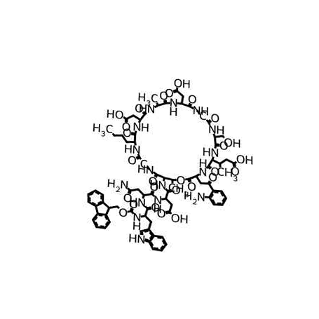 CCCCC1NC(=O)CNC(=O)C(NC(=O)C(CC(=O)O)NC(=O)C(CC(N)=O)NC(=O)C(Cc2c[nH]c3ccccc23)NC(=O)OCC2c3ccccc3-c3ccccc32)C(C)OC(=O)C(CC(=O)c2ccccc2N)NC(=O)C(C(C)CC(=O)O)NC(=O)C(CO)NC(=O)CNC(=O)C(CC(=O)O)NC(=O)C(C)NC(=O)C(CC(=O)O)NC1=O